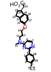 CCc1ccc(-c2nccc(N(C)CCCOc3ccc4c(c3)CC[C@H]4CC(=O)O)n2)cc1